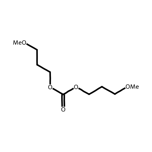 COCCCOC(=O)OCCCOC